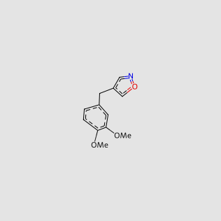 COc1ccc(Cc2cnoc2)cc1OC